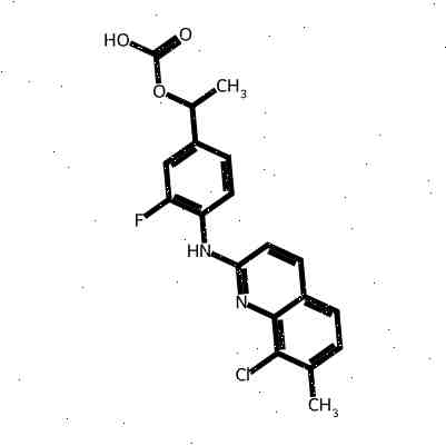 Cc1ccc2ccc(Nc3ccc(C(C)OC(=O)O)cc3F)nc2c1Cl